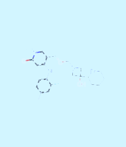 Cn1cc(COCN2CC(O)([C@@H]3CCCCN3)C2)c(Nc2ccc(I)cc2F)cc1=O